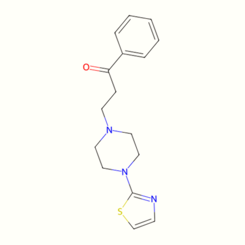 O=C(CCN1CCN(c2nccs2)CC1)c1ccccc1